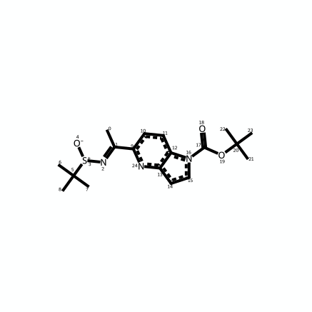 CC(=N[S+]([O-])C(C)(C)C)c1ccc2c(ccn2C(=O)OC(C)(C)C)n1